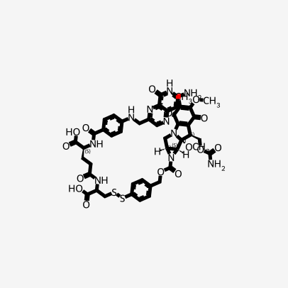 COC1=C(C)C(=O)C2=C(C1=O)[C@@H](COC(N)=O)[C@@]1(OC)[C@@H]3[C@H](CN21)N3C(=O)OCc1ccc(SSCC(NC(=O)CC[C@H](NC(=O)c2ccc(NCc3cnc4cc(N)[nH]c(=O)c4n3)cc2)C(=O)O)C(=O)O)cc1